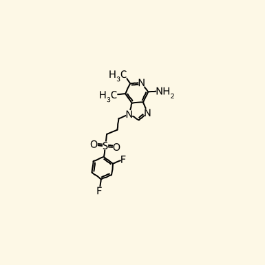 Cc1nc(N)c2ncn(CCCS(=O)(=O)c3ccc(F)cc3F)c2c1C